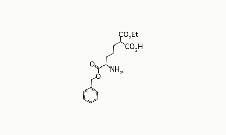 CCOC(=O)C(CCCC(N)C(=O)OCc1ccccc1)C(=O)O